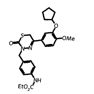 CCOC(=O)Nc1ccc(CN2N=C(c3ccc(OC)c(OC4CCCC4)c3)CSC2=O)cc1